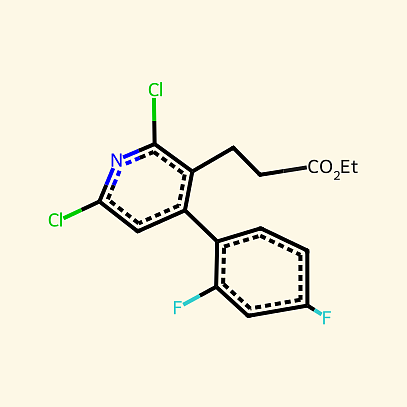 CCOC(=O)CCc1c(-c2ccc(F)cc2F)cc(Cl)nc1Cl